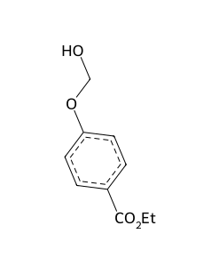 CCOC(=O)c1ccc(OCO)cc1